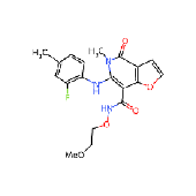 COCCONC(=O)c1c(Nc2ccc(C)cc2F)n(C)c(=O)c2ccoc12